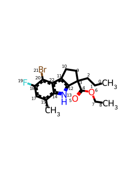 CCCC1(C(=O)OCC)CCc2c1[nH]c1c(C)cc(F)c(Br)c21